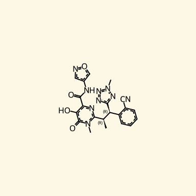 C[C@@H](c1nc(C(=O)Nc2cnoc2)c(O)c(=O)n1C)[C@@H](c1nnn(C)n1)c1ccccc1C#N